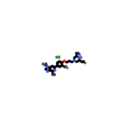 CC1CN(CCCOc2ccc(-c3cc4c(ncn4C)c(C#N)n3)cc2C(F)(F)F)CC(C)N1.Cl